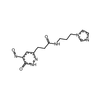 O=Nc1cc(CCC(=O)NCCCn2ccnc2)n[nH]c1=O